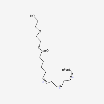 CCCCC/C=C\C/C=C\C/C=C\CCCCC(=O)OCCOCCO